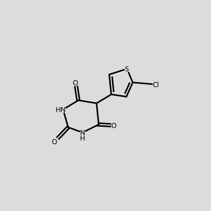 O=C1NC(=O)C(c2csc(Cl)c2)C(=O)N1